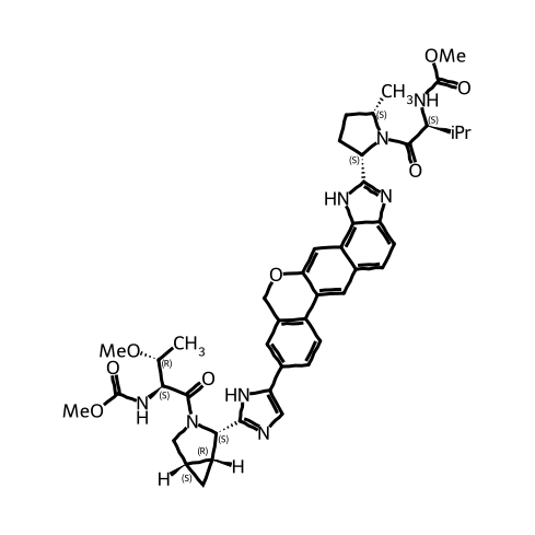 COC(=O)N[C@H](C(=O)N1[C@@H](C)CC[C@H]1c1nc2ccc3cc4c(cc3c2[nH]1)OCc1cc(-c2cnc([C@@H]3[C@@H]5C[C@@H]5CN3C(=O)[C@@H](NC(=O)OC)[C@@H](C)OC)[nH]2)ccc1-4)C(C)C